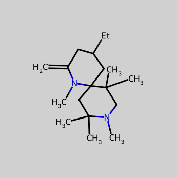 C=C1CC(CC)CC2(CC(C)(C)N(C)CC2(C)C)N1C